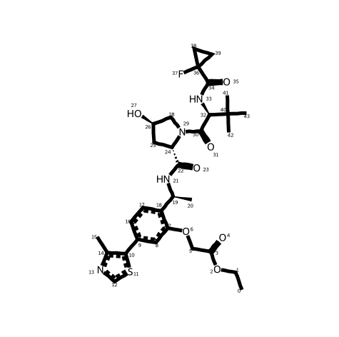 CCOC(=O)COc1cc(-c2scnc2C)ccc1[C@H](C)NC(=O)[C@@H]1C[C@@H](O)CN1C(=O)[C@@H](NC(=O)C1(F)CC1)C(C)(C)C